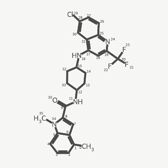 Cc1cccc2c1cc(C(=O)NC1CCC(Nc3cc(C(F)(F)F)nc4ccc(Cl)cc34)CC1)n2C